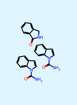 NC(=O)n1ccc2ccccc21.NC(=O)n1ccc2ccccc21.O=C1NCc2ccccc21